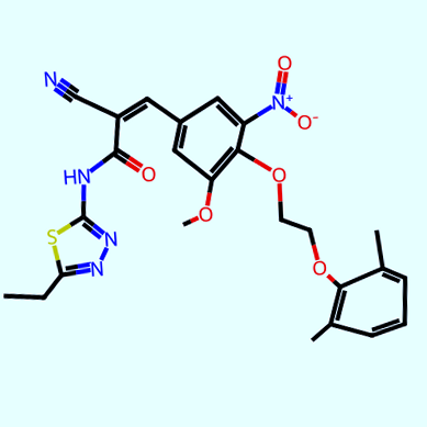 CCc1nnc(NC(=O)/C(C#N)=C\c2cc(OC)c(OCCOc3c(C)cccc3C)c([N+](=O)[O-])c2)s1